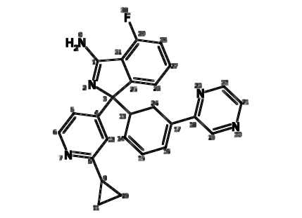 NC1=NC(c2ccnc(C3CC3)c2)(C2C=CC=C(c3cnccn3)C2)c2cccc(F)c21